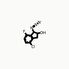 [N-]=[N+]=NC1c2c(F)ccc(Cl)c2CC1O